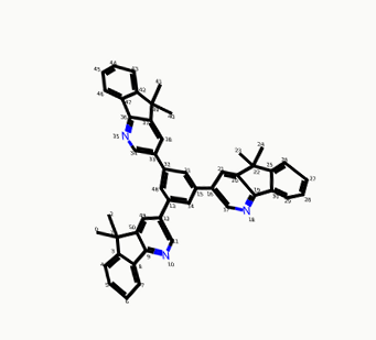 CC1(C)c2ccccc2-c2ncc(-c3cc(-c4cnc5c(c4)C(C)(C)c4ccccc4-5)cc(-c4cnc5c(c4)C(C)(C)c4ccccc4-5)c3)cc21